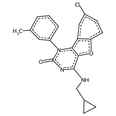 Cc1cccc(-n2c(=O)nc(NCC3CC3)c3oc4ccc(Cl)cc4c32)c1